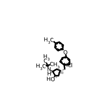 Cc1ccc(Oc2ccc(C[C@@H]3C[C@@H](O)[C@H](NC(C)(C)C)C3)cc2)cc1.Cl